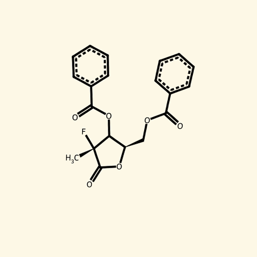 C[C@]1(F)C(=O)O[C@H](COC(=O)c2ccccc2)C1OC(=O)c1ccccc1